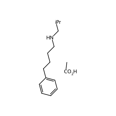 CC(=O)O.CC(C)CNCCCCc1ccccc1